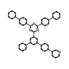 c1ccc(-c2ccc(-c3nc(-c4ccc(-c5ccccc5)cc4)nc(-c4cc(-c5ccccc5)cc(-c5ccc(-c6cccnc6)cc5)c4)n3)cc2)cc1